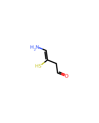 N/C=C(\S)CC=O